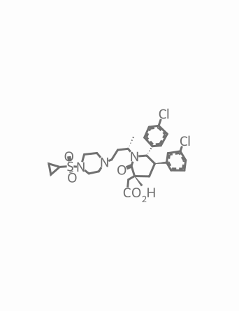 C[C@@H](CCN1CCN(S(=O)(=O)C2CC2)CC1)N1C(=O)[C@@](C)(CC(=O)O)C[C@H](c2cccc(Cl)c2)[C@H]1c1ccc(Cl)cc1